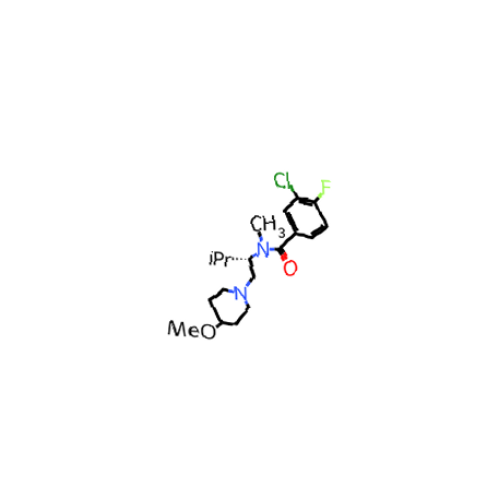 COC1CCN(C[C@H](C(C)C)N(C)C(=O)c2ccc(F)c(Cl)c2)CC1